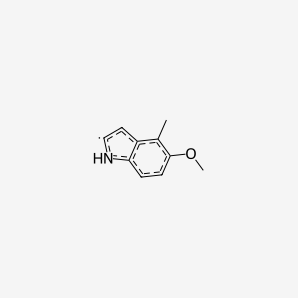 COc1ccc2[nH][c]cc2c1C